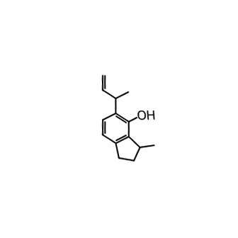 C=CC(C)c1ccc2c(c1O)C(C)CC2